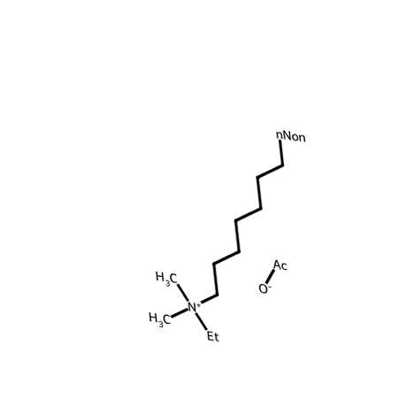 CC(=O)[O-].CCCCCCCCCCCCCCCC[N+](C)(C)CC